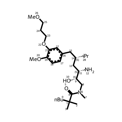 CCCCC(C)(C)C(=O)N(C)C[C@H](O)[C@@H](N)C[C@H](Cc1ccc(OC)c(OCCCOC)c1)C(C)C